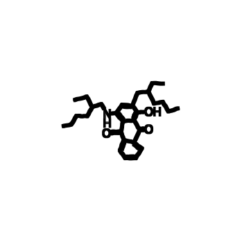 CCCCC(CC)CNc1cc(CC(CC)CCCC)c(O)c2c1C(=O)c1ccccc1C2=O